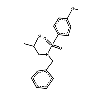 COc1ccc(S(=O)(=O)N(Cc2ccccc2)CC(C)S)cc1